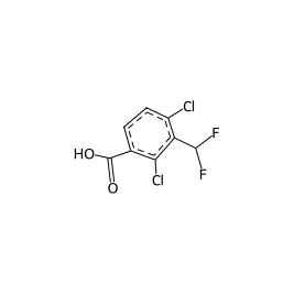 O=C(O)c1ccc(Cl)c(C(F)F)c1Cl